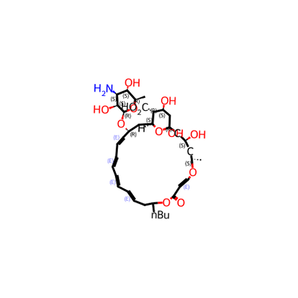 CCCCC1C/C=C/C=C/C=C/C=C/[C@H](O[C@@H]2O[C@H](C)[C@@H](O)[C@H](N)[C@@H]2O)C[C@@H]2O[C@](O)(C[C@@H](O)C[C@H](C)O/C=C/C(=O)O1)C[C@H](O)[C@H]2C(=O)O